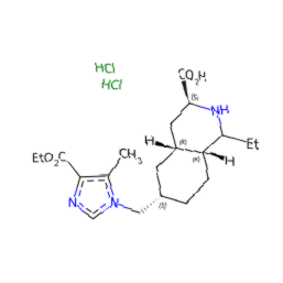 CCOC(=O)c1ncn(C[C@H]2CC[C@H]3C(CC)N[C@H](C(=O)O)C[C@H]3C2)c1C.Cl.Cl